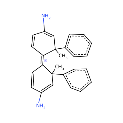 CC1(c2ccccc2)C=C(N)C=C/C1=C1\C=CC(N)=CC1(C)c1ccccc1